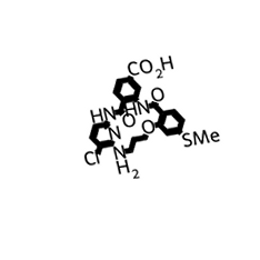 CSc1ccc(C(=O)Nc2cc(C(=O)O)ccc2C(=O)Nc2ccc(Cl)cn2)c(OCCCN)c1